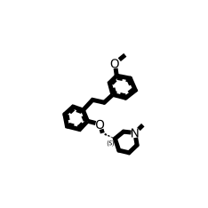 COc1cccc(CCc2ccccc2OC[C@H]2CCCN(C)C2)c1